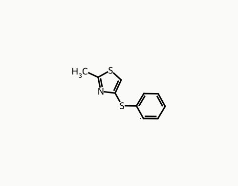 Cc1nc(Sc2[c]cccc2)cs1